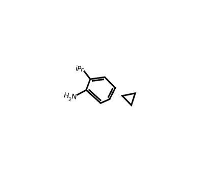 C1CC1.CC(C)c1ccccc1N